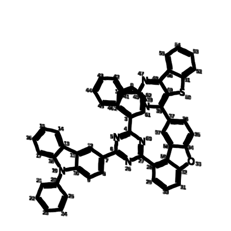 c1ccc(-c2nc(-c3ccc4c(c3)c3ccccc3n4-c3ccccc3)nc(-c3cccc4oc5ccc(-c6nc(-c7ccccc7)nc7c6sc6ccccc67)cc5c34)n2)cc1